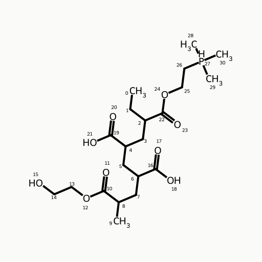 CCC(CC(CC(CC(C)C(=O)OCCO)C(=O)O)C(=O)O)C(=O)OCC[PH](C)(C)C